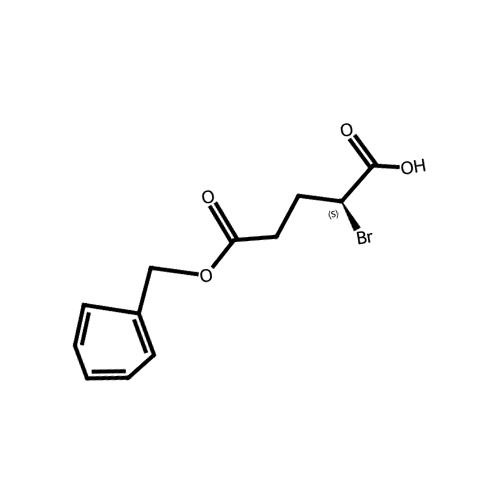 O=C(CC[C@H](Br)C(=O)O)OCc1ccccc1